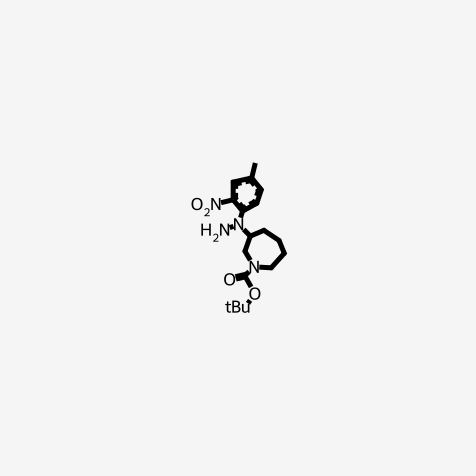 Cc1ccc(N(N)C2CCCCN(C(=O)OC(C)(C)C)C2)c([N+](=O)[O-])c1